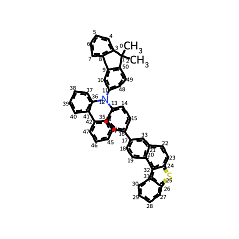 CC1(C)c2ccccc2-c2cc(N(c3ccc(-c4ccc5c(ccc6sc7ccccc7c65)c4)cc3)c3ccccc3-c3ccccc3)ccc21